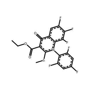 CCOC(=O)c1c(SC)n(-c2c(F)cc(F)cc2F)c2c(F)c(F)c(F)cc2c1=O